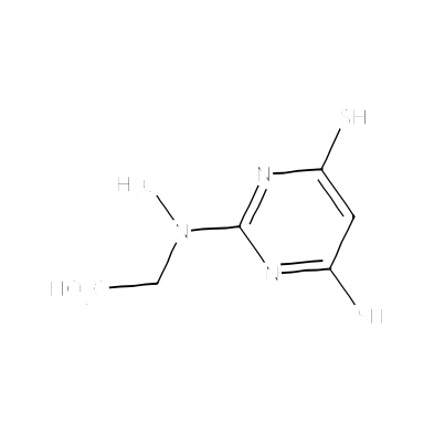 CN(CC(=O)O)c1nc(S)cc(S)n1